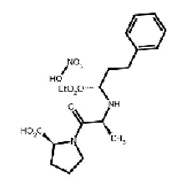 CCOC(=O)[C@H](CCc1ccccc1)N[C@@H](C)C(=O)N1CCC[C@H]1C(=O)O.O=[N+]([O-])O